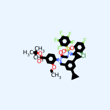 CCOc1cc(C(=O)OC(C)(C)C)ccc1N(Cc1cc(C2CC2)cc(C2CC2)c1)C(=O)CN(Cc1ccc(F)cc1Cl)S(=O)(=O)c1c(F)c(F)c(F)c(F)c1F